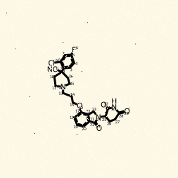 N#CC1(c2ccc(F)cc2Cl)CCN(CCCOc2cccc3c2CN(C2CCC(=O)NC2=O)C3=O)CC1